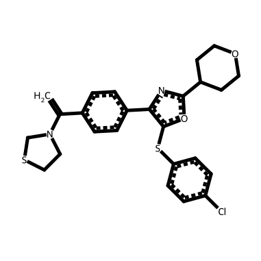 C=C(c1ccc(-c2nc(C3CCOCC3)oc2Sc2ccc(Cl)cc2)cc1)N1CCSC1